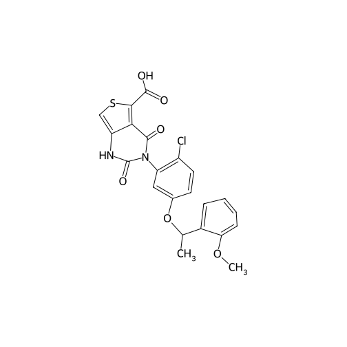 COc1ccccc1C(C)Oc1ccc(Cl)c(-n2c(=O)[nH]c3csc(C(=O)O)c3c2=O)c1